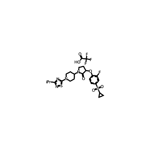 CC(C)c1nsc(N2CCC(N3CCC(Oc4ccc(S(=O)(=O)C5CC5)cc4F)C3=O)CC2)n1.O=C(O)C(F)(F)F